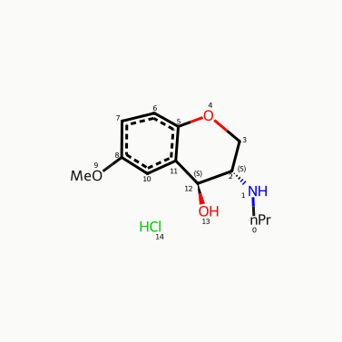 CCCN[C@H]1COc2ccc(OC)cc2[C@@H]1O.Cl